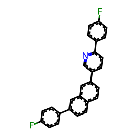 Fc1ccc(-c2ccc3ccc(-c4ccc(-c5ccc(F)cc5)nc4)cc3c2)cc1